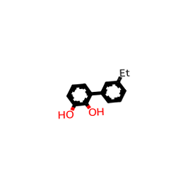 CCc1cccc(-c2cccc(O)c2O)c1